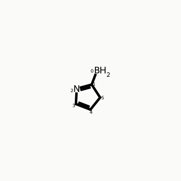 BC1=NC=CC1